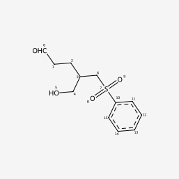 O=CCCC(CO)CS(=O)(=O)c1ccccc1